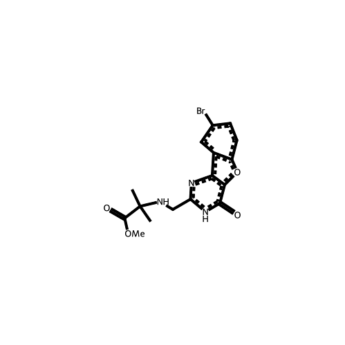 COC(=O)C(C)(C)NCc1nc2c(oc3ccc(Br)cc32)c(=O)[nH]1